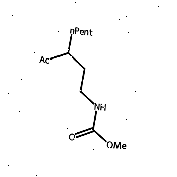 CCCCCC(CCNC(=O)OC)C(C)=O